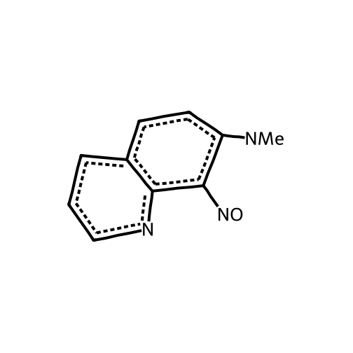 CNc1ccc2cccnc2c1N=O